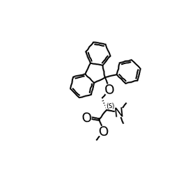 COC(=O)[C@H](COC1(c2ccccc2)c2ccccc2-c2ccccc21)N(C)C